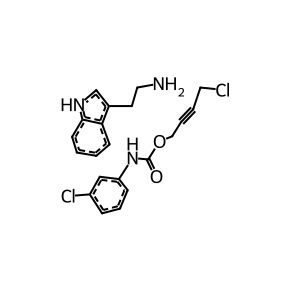 NCCc1c[nH]c2ccccc12.O=C(Nc1cccc(Cl)c1)OCC#CCCl